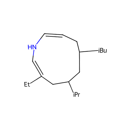 CC/C1=C/N/C=C\CC(C(C)CC)CC(C(C)C)C1